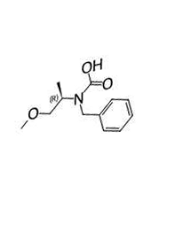 COC[C@@H](C)N(Cc1ccccc1)C(=O)O